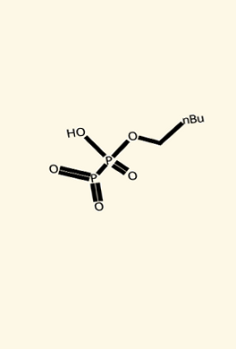 CCCCCOP(=O)(O)P(=O)=O